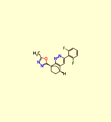 Cc1nnc([C@]23CC[C@H](CC2)c2cc(-c4c(F)cccc4F)nnc23)o1